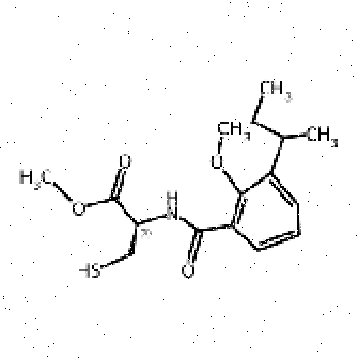 CCC(C)c1cccc(C(=O)N[C@@H](CS)C(=O)OC)c1OC